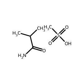 CC(C)C(N)=O.CS(=O)(=O)O